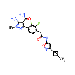 CC(C)n1nc(-c2ccc(CC(=O)Nc3cc(C45CC(C(F)(F)F)(C4)C5)no3)c(F)c2F)c(C(N)=O)c1N